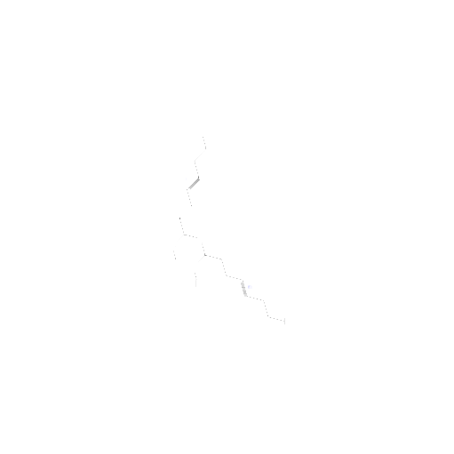 CCOC(CC/C=C/CCI)OC(CC/C=C/CCI)OCC